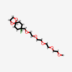 COCCOCCOCCOCCOCC1(F)CCC2(CC1)OCCO2